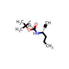 C#C[C@H](CCC)NC(=O)OC(C)(C)C